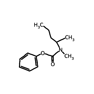 CCCC(C)N(C)C(=O)Oc1ccccc1